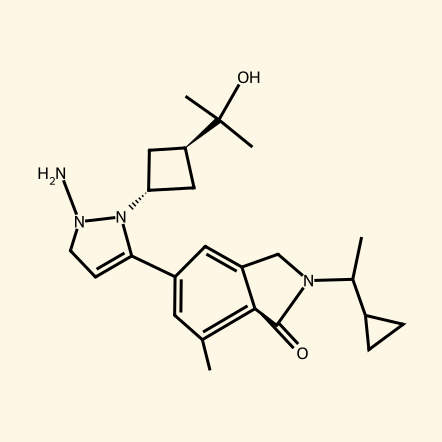 Cc1cc(C2=CCN(N)N2[C@H]2C[C@H](C(C)(C)O)C2)cc2c1C(=O)N(C(C)C1CC1)C2